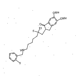 CCC(F)(CCCCCNCc1ccccc1F)CC1Cc2cc(OC)c(OC)cc2C1=O